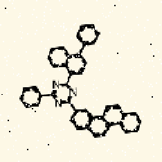 c1ccc(-c2nc(-c3ccc4ccc5c6ccccc6ccc5c4c3)nc(-c3ccc(-c4ccccc4)c4ccccc34)n2)cc1